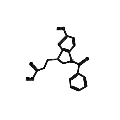 COC(=O)CCC1CN(C(=O)c2ccccc2)c2ccc(OC)cc21